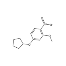 COc1cc(OC2CCCC2)ccc1[N+](=O)[O-]